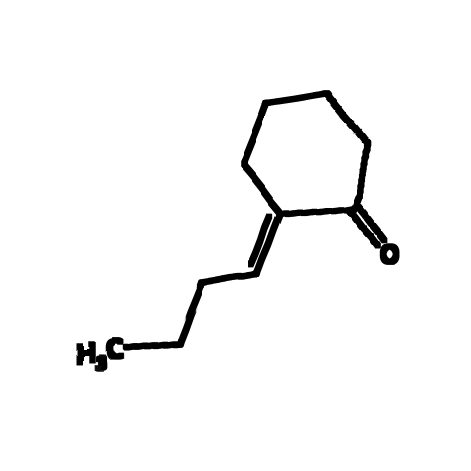 CCCC=C1CCCCC1=O